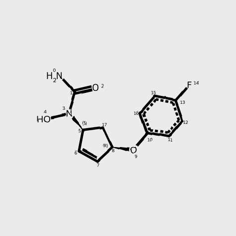 NC(=O)N(O)[C@@H]1C=C[C@H](Oc2ccc(F)cc2)C1